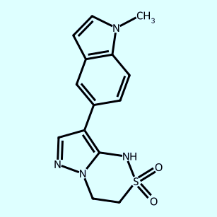 Cn1ccc2cc(-c3cnn4c3NS(=O)(=O)CC4)ccc21